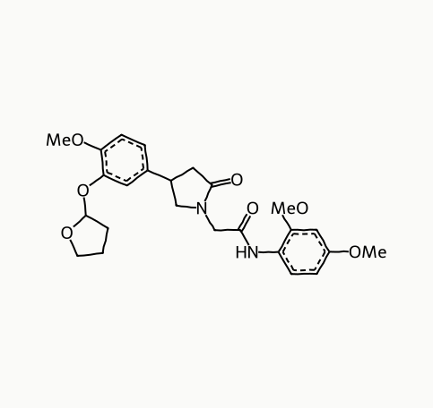 COc1ccc(NC(=O)CN2CC(c3ccc(OC)c(OC4CCCO4)c3)CC2=O)c(OC)c1